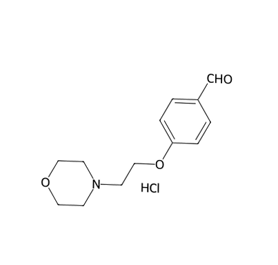 Cl.O=Cc1ccc(OCCN2CCOCC2)cc1